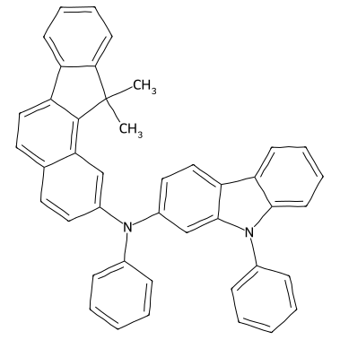 CC1(C)c2ccccc2-c2ccc3ccc(N(c4ccccc4)c4ccc5c6ccccc6n(-c6ccccc6)c5c4)cc3c21